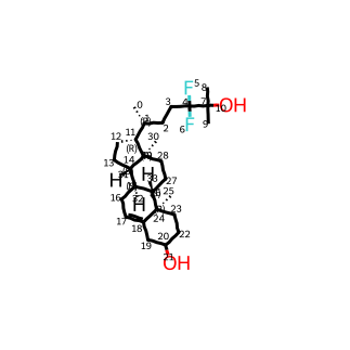 C[C@H](CCC(F)(F)C(C)(C)O)[C@H]1CC[C@H]2[C@@H]3CC=C4CC(O)CC[C@]4(C)[C@H]3CC[C@]12C